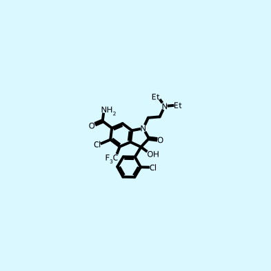 CCN(CC)CCN1C(=O)C(O)(c2ccccc2Cl)c2c1cc(C(N)=O)c(Cl)c2C(F)(F)F